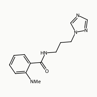 CNc1ccccc1C(=O)NCCCn1cncn1